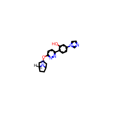 Oc1cc(-n2ccnc2)ccc1-c1ccc(O[C@H]2CC3CC[C@H](C2)N3)nn1